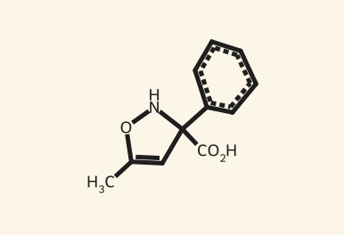 CC1=CC(C(=O)O)(c2ccccc2)NO1